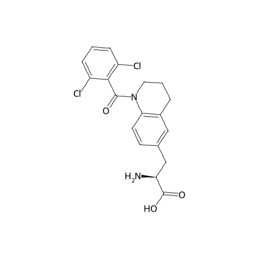 N[C@@H](Cc1ccc2c(c1)CCCN2C(=O)c1c(Cl)cccc1Cl)C(=O)O